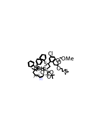 COCOc1cc(Cl)cc(C(CC[C@@H]2OC(C)(C)O[C@@H]2C(/C=C\[C@@H](C)[C@H](C)CC(C)(C)[Si](O)(c2ccccc2)c2ccccc2)O[Si](C)(C)C(C)(C)C)Sc2ccccc2)c1CC(=O)OCC[Si](C)(C)C